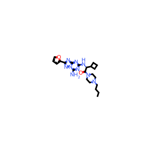 CCCCN1CCN(C(=O)[C@@H](Nc2nc(N)n3nc(-c4ccco4)nc3n2)C2CCC2)CC1